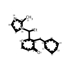 CCC(c1occc(=O)c1Cc1ccccc1)n1ccnc1C